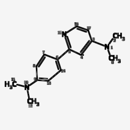 CN(C)c1[c]c(-c2ccc(N(C)C)cc2)ncc1